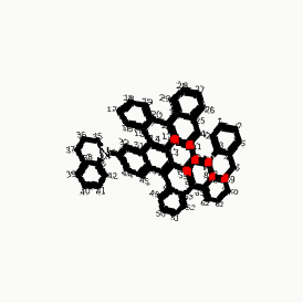 c1ccc2c(c1)CCCN2c1ccc2c(-c3ccccc3-c3cccc4ccccc34)c3cc(N4CCCc5ccccc54)ccc3c(-c3ccccc3-c3cccc4ccccc34)c2c1